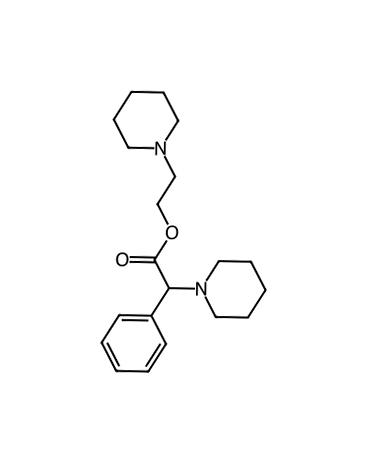 O=C(OCCN1CCCCC1)C(c1ccccc1)N1CCCCC1